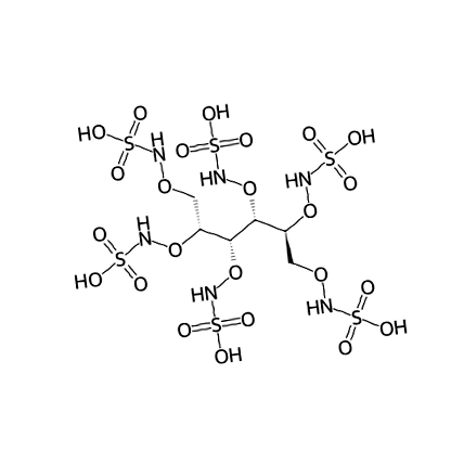 O=S(=O)(O)NOC[C@H](ONS(=O)(=O)O)[C@@H](ONS(=O)(=O)O)[C@H](ONS(=O)(=O)O)[C@@H](CONS(=O)(=O)O)ONS(=O)(=O)O